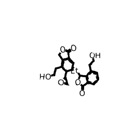 CCC1OC(=O)c2cccc(CCO)c21.O=C1OCC2=C(CCO)[C](C3CO3)CC=C12